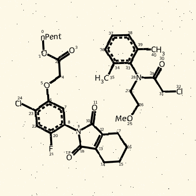 CCCCCOC(=O)COc1cc(N2C(=O)C3=C(CCCC3)C2=O)c(F)cc1Cl.COCCN(C(=O)CCl)c1c(C)cccc1C